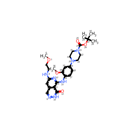 COCCNc1cc2cn[nH]c(=O)c2c(Nc2ccc(N3CCN(C(=O)OC(C)(C)C)CC3)cc2OC)n1